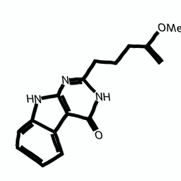 C=C(CCCc1nc2[nH]c3ccccc3c2c(=O)[nH]1)OC